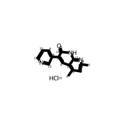 Cc1cc(C)c2cc(-c3cccnc3)c(=O)[nH]c2n1.Cl